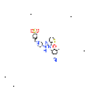 Cc1cc(C#N)cc(C)c1Oc1nc(NC2CCN(Cc3ccc(S(C)(=O)=O)cc3)CC2)nc2c1SCCC2